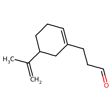 C=C(C)C1CCC=C(CCC=O)C1